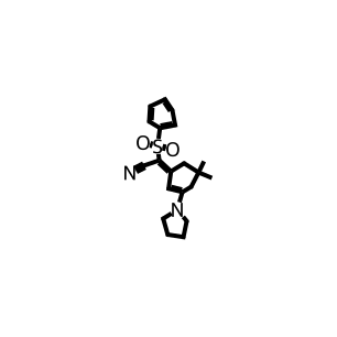 CC1(C)CC(N2CCCC2)=C/C(=C(\C#N)S(=O)(=O)c2ccccc2)C1